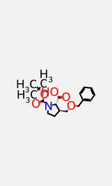 CC(C)(C)OC(=O)N1CC[C@H](COCc2ccccc2)[C@H]1C(=O)O